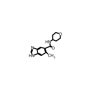 Cc1cc2[nH]cnc2cc1C(=O)NC1CCOCC1